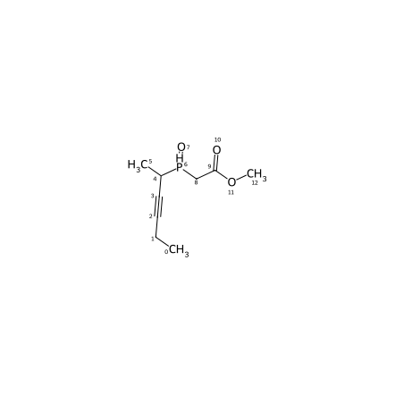 CCC#CC(C)[PH](=O)CC(=O)OC